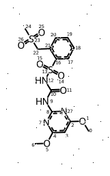 COc1cc(OC)nc(NC(=O)NS(=O)(=O)c2ccccc2CS(C)(=O)=O)n1